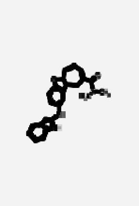 CN(C)C(=O)C1=CC=CC2Oc3ccc(Nc4cc5ccccc5[nH]4)cc3C2=C1